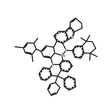 CC1=CC(C)C(C2=CC3c4ccc5c6c(sc5c4N(c4ccc5c(c4)C(C)(C)CCC5(C)C)[SH]4c5cccc7c5N(C(=C2)C34)c2ccccc2C7(c2ccccc2)C2C=CC=CC2)CCC=C6)C(C)=C1